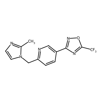 Cc1nccn1Cc1ccc(-c2noc(C(F)(F)F)n2)cn1